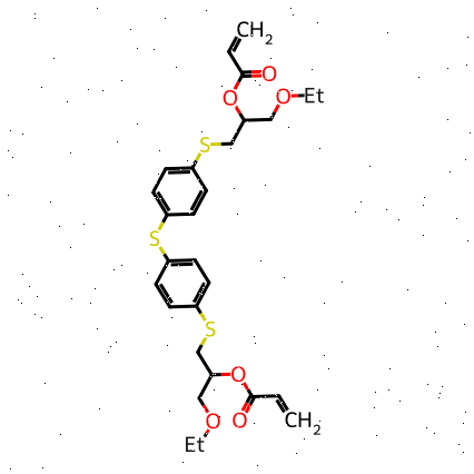 C=CC(=O)OC(COCC)CSc1ccc(Sc2ccc(SCC(COCC)OC(=O)C=C)cc2)cc1